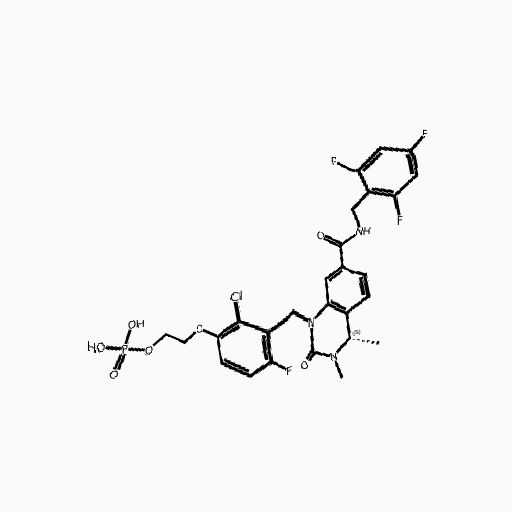 C[C@H]1c2ccc(C(=O)NCc3c(F)cc(F)cc3F)cc2N(Cc2c(F)ccc(OCCOP(=O)(O)O)c2Cl)C(=O)N1C